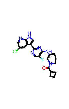 O=C(C1CCC1)N1CCC[C@@H](Nc2nc(-c3c[nH]c4ncc(Cl)cc34)ncc2F)C1